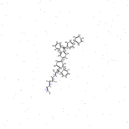 C\C=C/C=C(C)/C(C)=C/C=C(\C)n1c2ccccc2c2cc(-c3ccc4c(c3)c3ccccc3n4-c3ccc(-c4ccccc4)cc3)ccc21